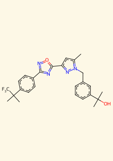 Cc1cc(-c2nc(-c3ccc(C(C)(C)C(F)(F)F)cc3)no2)nn1Cc1cccc(C(C)(C)O)c1